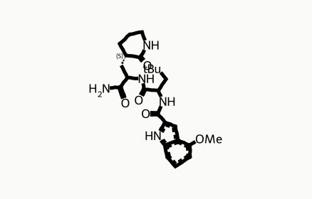 COc1cccc2[nH]c(C(=O)NC(CC(C)(C)C)C(=O)NC(C[C@@H]3CCCNC3=O)C(N)=O)cc12